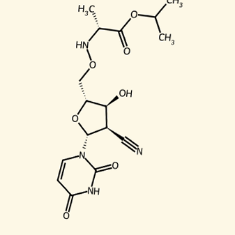 CC(C)OC(=O)[C@@H](C)NOC[C@H]1O[C@@H](n2ccc(=O)[nH]c2=O)[C@H](C#N)[C@@H]1O